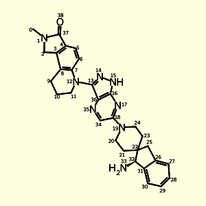 CN1Cc2c(ccc3c2CCCN3c2n[nH]c3nc(N4CCC5(CC4)Cc4ccccc4[C@H]5N)cnc23)C1=O